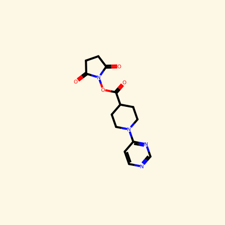 O=C(ON1C(=O)CCC1=O)C1CCN(c2ccncn2)CC1